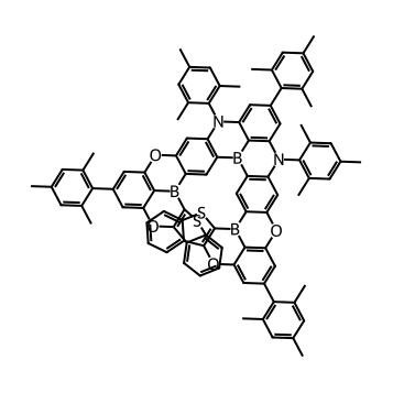 Cc1cc(C)c(-c2cc3c4c(c2)Oc2c(sc5ccccc25)B4c2cc4c(cc2O3)N(c2c(C)cc(C)cc2C)c2cc(-c3c(C)cc(C)cc3C)cc3c2B4c2cc4c(cc2N3c2c(C)cc(C)cc2C)Oc2cc(-c3c(C)cc(C)cc3C)cc3c2B4c2sc4ccccc4c2O3)c(C)c1